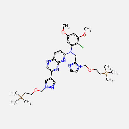 COc1cc(OC)c(F)c(N(Cc2nccn2COCCS(C)(C)C)c2ccc3ncc(-c4cnn(COCCS(C)(C)C)c4)nc3n2)c1